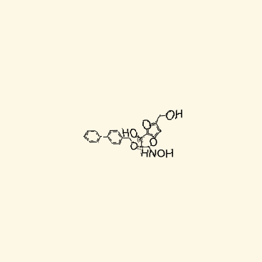 C[C@@](OCc1ccc(-c2ccccc2)cc1)(C(=O)NO)[C@@H](O)c1ccc(CO)o1